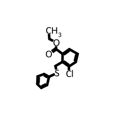 CCOC(=O)c1cccc(Cl)c1CSc1ccccc1